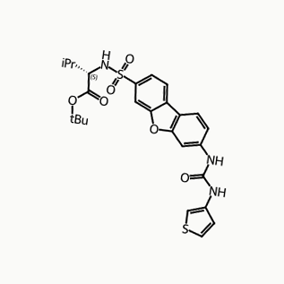 CC(C)[C@H](NS(=O)(=O)c1ccc2c(c1)oc1cc(NC(=O)Nc3ccsc3)ccc12)C(=O)OC(C)(C)C